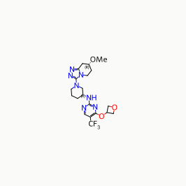 CO[C@@H]1CCn2c(nnc2N2CCC[C@@H](Nc3ncc(C(F)(F)F)c(OC4COC4)n3)C2)C1